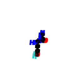 Cn1c(N2CCN[C@@H](c3ccc(-c4ccc(OC(F)(F)F)cc4)cc3)C2)nc(-c2ccncn2)cc1=O